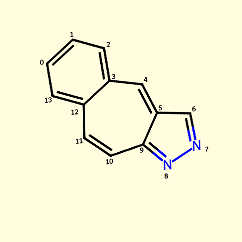 c1ccc2cc3cnnc-3ccc2c1